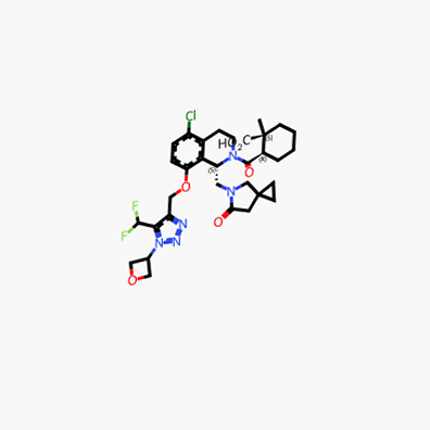 C[C@]1(C(=O)O)CCCC[C@H]1C(=O)N1CCc2c(Cl)ccc(OCc3nnn(C4COC4)c3C(F)F)c2[C@H]1CN1CC2(CC2)CC1=O